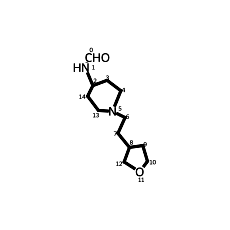 O=CNC1CCN(CCC2CCOC2)CC1